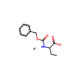 CCC(NC(=O)OCc1ccccc1)C(=O)[O-].[K+]